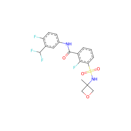 CC1(NS(=O)(=O)c2cccc(C(=O)Nc3ccc(F)c(C(F)F)c3)c2F)COC1